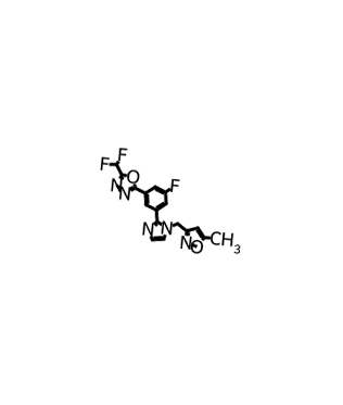 Cc1cc(Cn2ccnc2-c2cc(F)cc(-c3nnc(C(F)F)o3)c2)no1